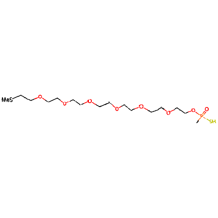 CSCCOCCOCCOCCOCCOCCOCCOP(C)(=O)S